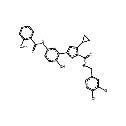 COc1ccccc1C(=O)Nc1ccc(O)c(-c2cc(C3CC3)n(C(=O)NCc3ccc(Cl)c(Cl)c3)n2)c1